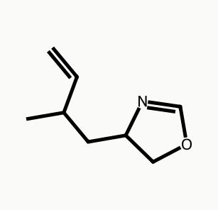 C=CC(C)CC1COC=N1